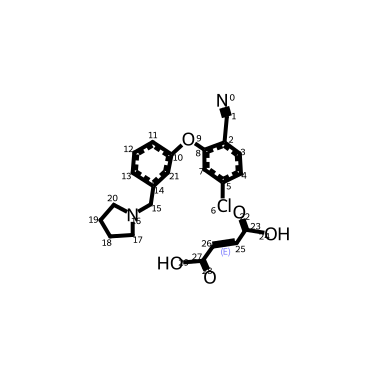 N#Cc1ccc(Cl)cc1Oc1cccc(CN2CCCC2)c1.O=C(O)/C=C/C(=O)O